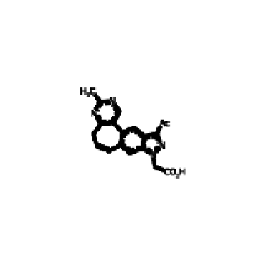 CC(=O)c1nn(CC(=O)O)c2cc3c(cc12)-c1cnc(C)nc1CC=C3